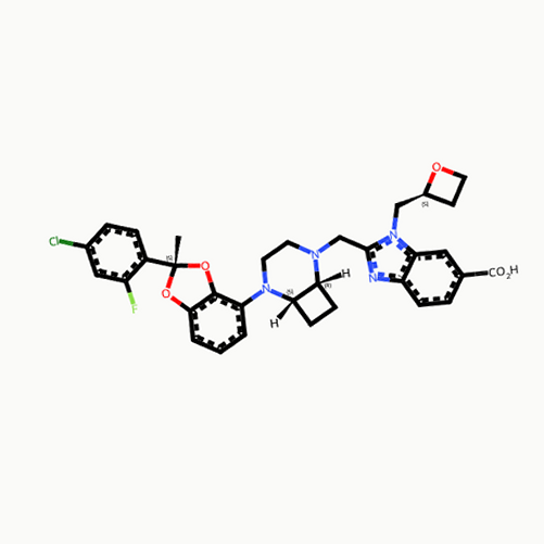 C[C@]1(c2ccc(Cl)cc2F)Oc2cccc(N3CCN(Cc4nc5ccc(C(=O)O)cc5n4C[C@@H]4CCO4)[C@@H]4CC[C@@H]43)c2O1